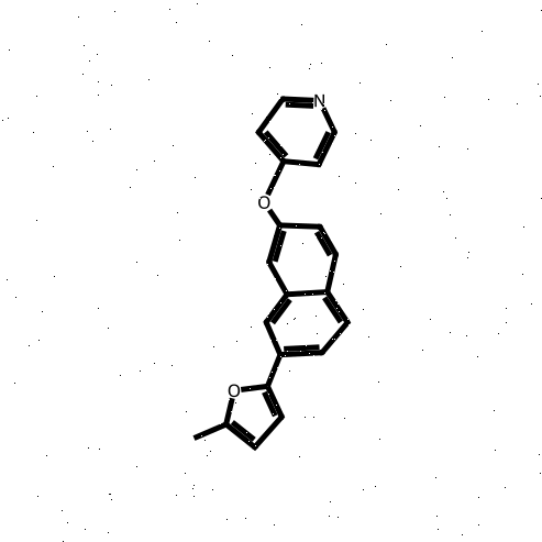 Cc1ccc(-c2ccc3ccc(Oc4ccncc4)cc3c2)o1